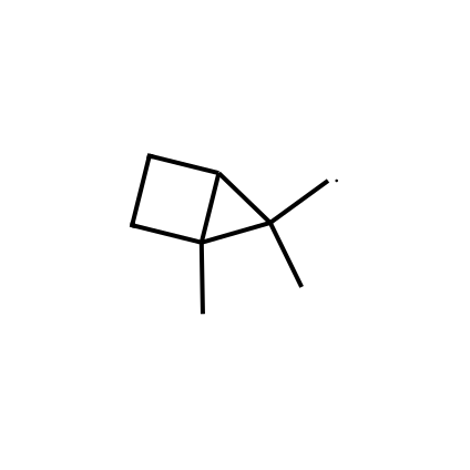 [CH2]C1(C)C2CCC21C